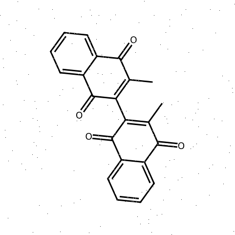 CC1=C(C2=C(C)C(=O)c3ccccc3C2=O)C(=O)c2ccccc2C1=O